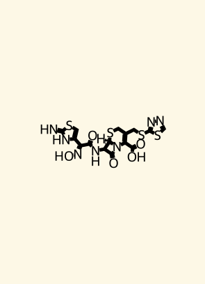 N=c1[nH]c(C(=NO)C(=O)NC2C(=O)N3C(C(=O)O)=C(CSc4nncs4)CS[C@@H]23)cs1